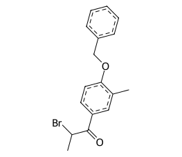 Cc1cc(C(=O)C(C)Br)ccc1OCc1ccccc1